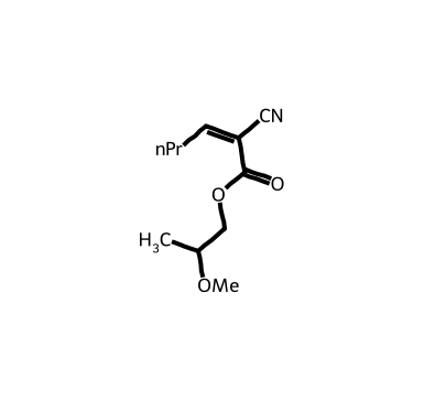 CCCC=C(C#N)C(=O)OCC(C)OC